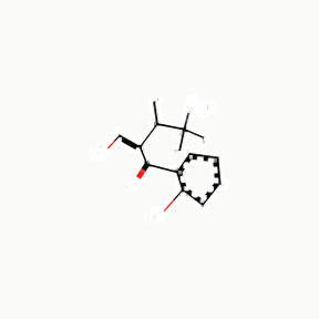 CC(/C(=C/O)C(=O)c1ccccc1O)C(C)(C)C(=O)O